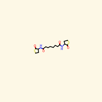 O=C(CCCCCCC(=O)NC1CCSC1=O)NC1CCSC1=O